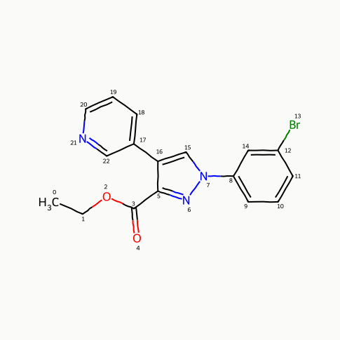 CCOC(=O)c1nn(-c2cccc(Br)c2)cc1-c1cccnc1